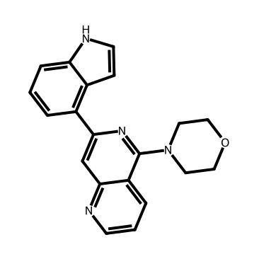 c1cc(-c2cc3ncccc3c(N3CCOCC3)n2)c2cc[nH]c2c1